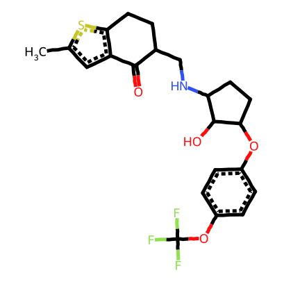 Cc1cc2c(s1)CCC(CNC1CCC(Oc3ccc(OC(F)(F)F)cc3)C1O)C2=O